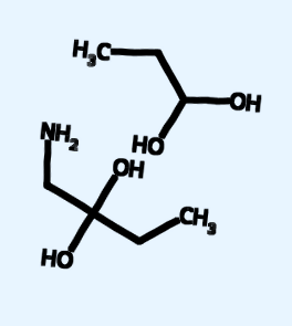 CCC(O)(O)CN.CCC(O)O